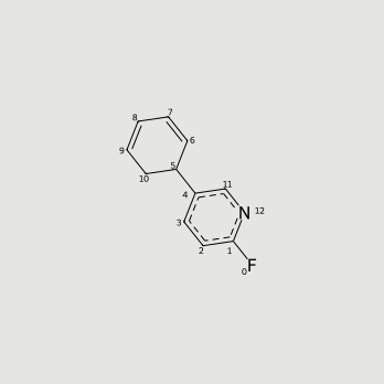 Fc1ccc(C2C=CC=CC2)cn1